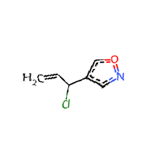 C=CC(Cl)c1cnoc1